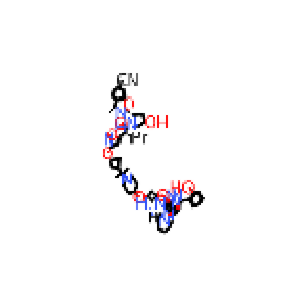 CC(C)[C@H](C(=O)N1C[C@H](O)C[C@H]1C(=O)N[C@@H](C)c1ccc(C#N)cc1)c1cc(OC2CC(C(C)(C)N3CCC(OC4CC(Oc5cc(N6C7CC[C@@H]6CN(c6cc(-c8ccccc8O)nnc6N)C7)ccn5)C4)CC3)C2)no1